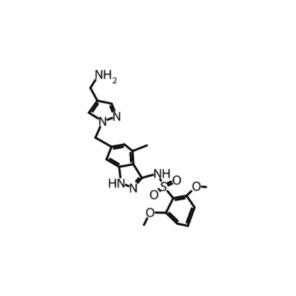 COc1cccc(OC)c1S(=O)(=O)Nc1n[nH]c2cc(Cn3cc(CN)cn3)cc(C)c12